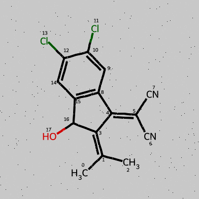 CC(C)=C1C(=C(C#N)C#N)c2cc(Cl)c(Cl)cc2C1O